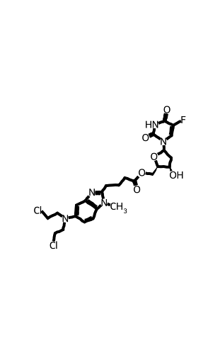 Cn1c(CCCC(=O)OC[C@H]2OC(n3cc(F)c(=O)[nH]c3=O)C[C@H]2O)nc2cc(N(CCCl)CCCl)ccc21